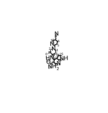 C[C@@H]1CN(c2ccc(C#N)cn2)CC[C@@H]1Nc1c(C(N)=O)cnc2[nH]ccc12